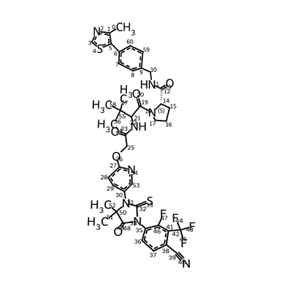 Cc1ncsc1-c1ccc(CNC(=O)[C@@H]2CCCN2C(=O)C(NC(=O)COc2ccc(N3C(=S)N(c4ccc(C#N)c(C(F)(F)F)c4F)C(=O)C3(C)C)cn2)C(C)(C)C)cc1